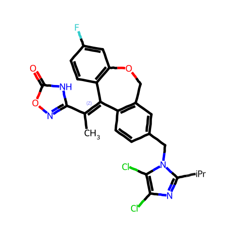 C/C(=C1\c2ccc(Cn3c(C(C)C)nc(Cl)c3Cl)cc2COc2cc(F)ccc21)c1noc(=O)[nH]1